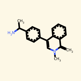 C=C1c2ccccc2C(c2ccc(C(C)N)cc2)=CN1C